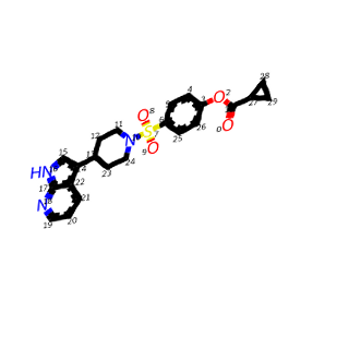 O=C(Oc1ccc(S(=O)(=O)N2CCC(c3c[nH]c4ncccc34)CC2)cc1)C1CC1